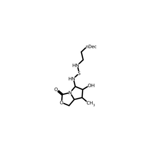 CCCCCCCCCCCCNSNC1C(O)C(C)C2COC(=O)N21